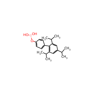 CC(C)c1cc(C(C)C)c(-c2ccc(OB(O)O)cc2)c(C(C)C)c1